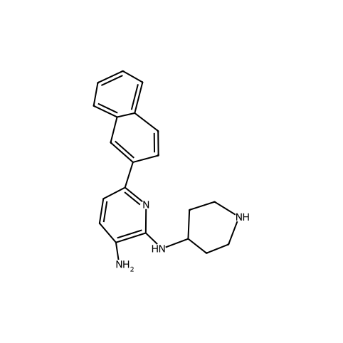 Nc1ccc(-c2ccc3ccccc3c2)nc1NC1CCNCC1